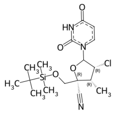 C[C@H]1[C@@H](Cl)C(n2ccc(=O)[nH]c2=O)O[C@]1(C#N)CO[Si](C)(C)C(C)(C)C